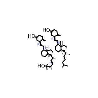 C=C1CC[C@H](O)C/C1=C/C=C1\CCC[C@]2(C)[C@@H]([C@H](C)/C=C/[C@H](C)C(C)(C)O)CC[C@@H]12.C=C1CC[C@H](O)C/C1=C/C=C1\CCC[C@]2(C)[C@@H]([C@H](C)CCCC(C)C)CC[C@@H]12